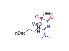 CCCCCCCCCCCCN/C(=N\C(=O)P(=O)(OC)OC)N(C)C